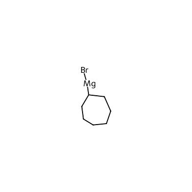 [Br][Mg][CH]1CCCCCC1